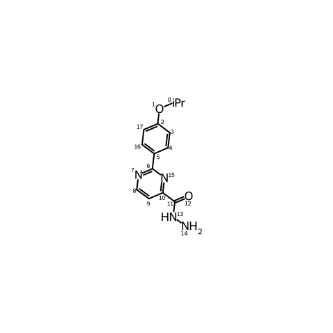 CC(C)Oc1ccc(-c2nccc(C(=O)NN)n2)cc1